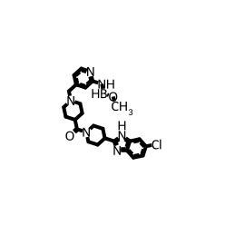 COBNc1cc(CN2CCC(C(=O)N3CCC(c4nc5ccc(Cl)cc5[nH]4)CC3)CC2)ccn1